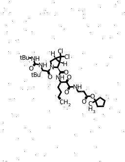 C=CCCC(NC(=O)[C@@H]1[C@@H]2[C@H](CN1C(=O)[C@@H](NC(=O)NC(C)(C)C)C(C)(C)C)C2(Cl)Cl)C(=O)C(=O)NCCC(=O)OC1(C)CCCC1